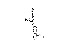 C=CC(/C=C/c1ccc2cc(N(C)C)ccc2c1)=C\C=N\CCSSCC